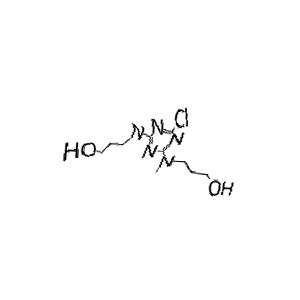 CN(CCCO)c1nc(Cl)nc(N(C)CCCO)n1